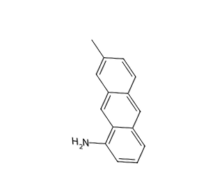 Cc1ccc2cc3cccc(N)c3cc2c1